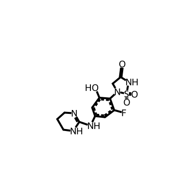 O=C1CN(c2c(O)cc(NC3=NCCCN3)cc2F)S(=O)(=O)N1